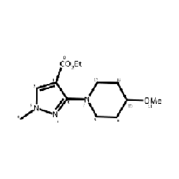 CCOC(=O)c1cn(C)nc1N1CCC(OC)CC1